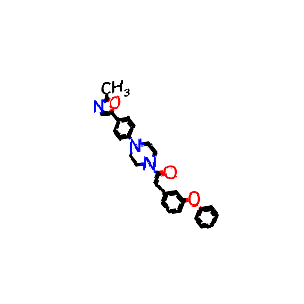 Cc1ncc(-c2ccc(N3CCN(C(=O)Cc4cccc(Oc5ccccc5)c4)CC3)cc2)o1